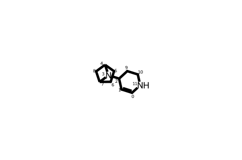 C1=CC(N2C3CCC2C3)CCN1